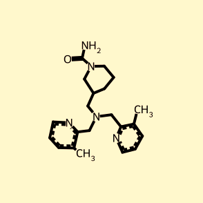 Cc1cccnc1CN(Cc1ncccc1C)CC1CCCN(C(N)=O)C1